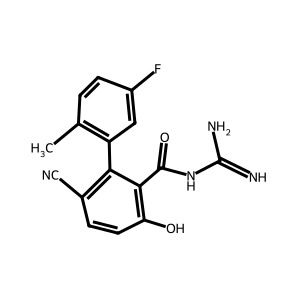 Cc1ccc(F)cc1-c1c(C#N)ccc(O)c1C(=O)NC(=N)N